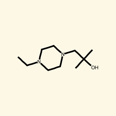 CCN1CCN(CC(C)(C)O)CC1